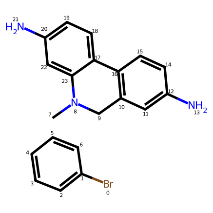 Brc1ccccc1.CN1Cc2cc(N)ccc2-c2ccc(N)cc21